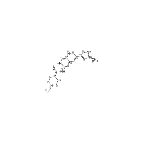 CN1CCC(C(=O)Nc2cc3cc(-c4cnn(C)c4)cnc3cn2)CC1